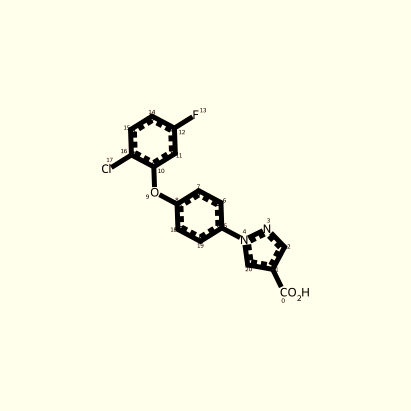 O=C(O)c1cnn(-c2ccc(Oc3cc(F)ccc3Cl)cc2)c1